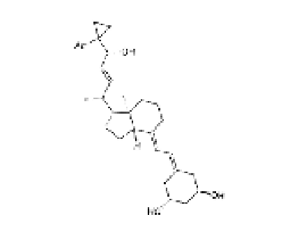 CC(=O)C1([C@H](O)/C=C/[C@@H](C)[C@H]2CC[C@H]3/C(=C/C=C4C[C@@H](O)C[C@H](O)C4)CCC[C@]23C)CC1